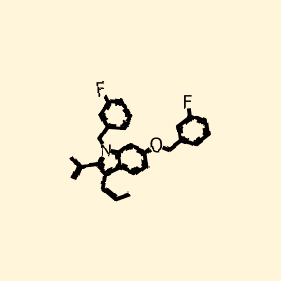 C=C(C)c1c(/C=C\C)c2ccc(OCc3cccc(F)c3)cc2n1Cc1cccc(F)c1